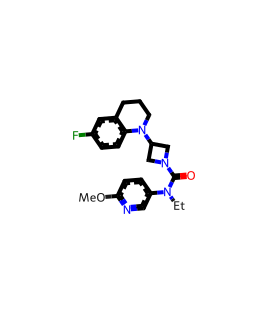 CCN(C(=O)N1CC(N2CCCc3cc(F)ccc32)C1)c1ccc(OC)nc1